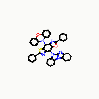 C1=Cc2c(nc3n(-c4c5nc(-c6ccccc6)sc5c(N5c6ccccc6Oc6ccccc65)c5nc(-c6ccccc6)oc45)c4ccccc4n23)CC1